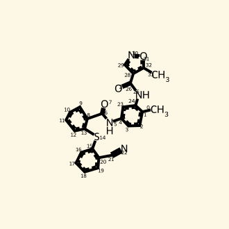 Cc1ccc(NC(=O)c2ccccc2Sc2ccccc2C#N)cc1NC(=O)c1cnoc1C